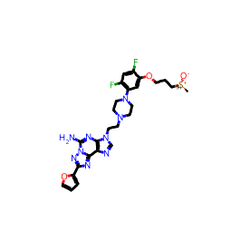 C[S@+]([O-])CCCOc1cc(N2CCN(CCn3cnc4c3nc(N)n3nc(-c5ccco5)nc43)CC2)c(F)cc1F